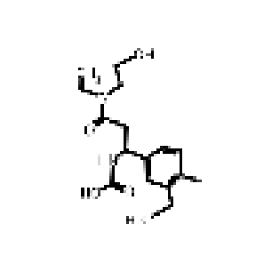 CCc1cc(C(CC(=O)N(CC)CCO)NC(=O)O)ccc1F